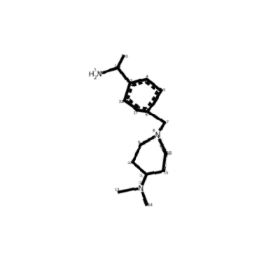 CC(N)c1ccc(CN2CCC(N(C)C)CC2)cc1